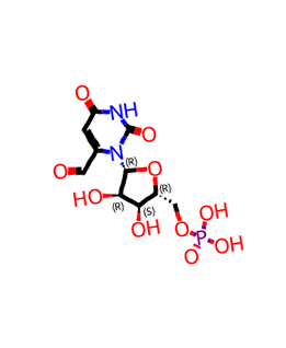 O=Cc1cc(=O)[nH]c(=O)n1[C@@H]1O[C@H](COP(=O)(O)O)[C@@H](O)[C@H]1O